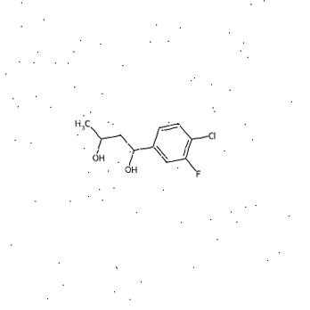 CC(O)CC(O)c1ccc(Cl)c(F)c1